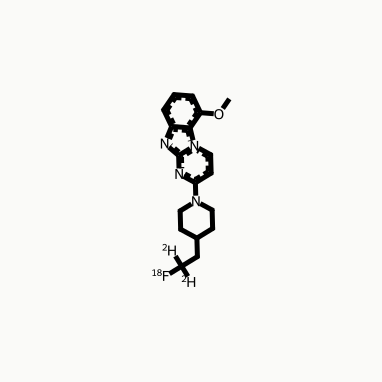 [2H]C([2H])([18F])CC1CCN(c2ccn3c(n2)nc2cccc(OC)c23)CC1